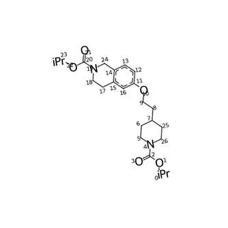 CC(C)OC(=O)N1CCC(CCOc2ccc3c(c2)CCN(C(=O)OC(C)C)C3)CC1